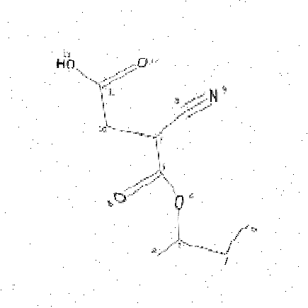 CCC(C)OC(=O)C(C#N)CC(=O)O